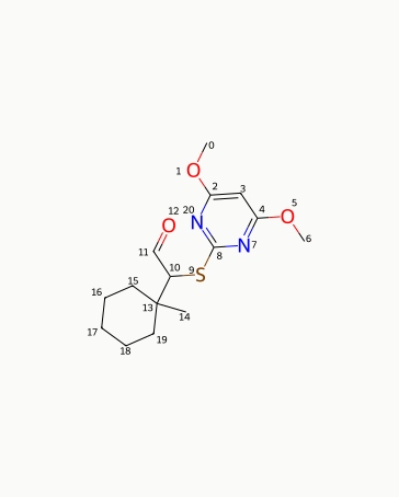 COc1cc(OC)nc(SC(C=O)C2(C)CCCCC2)n1